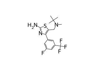 CN(Cc1sc(N)nc1-c1cc(F)cc(C(F)(F)F)c1)C(C)(C)C